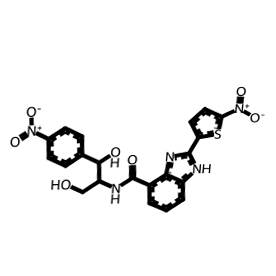 O=C(NC(CO)C(O)c1ccc([N+](=O)[O-])cc1)c1cccc2[nH]c(-c3ccc([N+](=O)[O-])s3)nc12